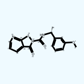 COc1cccc([C@@H](C)NC(=O)n2sc3ncccc3c2=O)c1